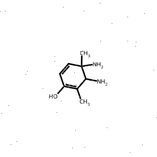 CC1=C(O)C=CC(C)(N)C1N